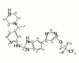 CC(c1ccnc(Nc2nc3ccc(-c4cc(OCC(F)(F)C(F)(F)F)ncn4)cc3[nH]2)c1)N1CCNCC1